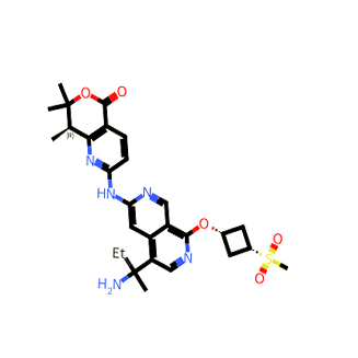 CCC(C)(N)c1cnc(O[C@H]2C[C@@H](S(C)(=O)=O)C2)c2cnc(Nc3ccc4c(n3)[C@@H](C)C(C)(C)OC4=O)cc12